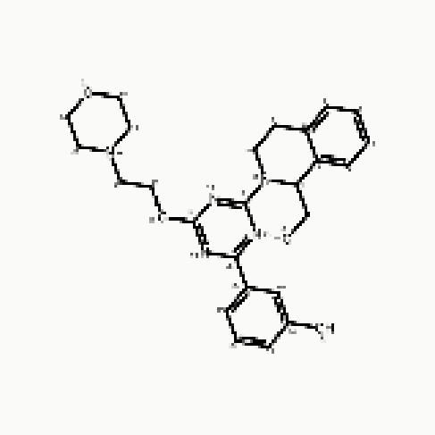 OCC1c2ccccc2CCN1c1nc(OCCN2CCOCC2)nc(-c2cccc(O)c2)n1